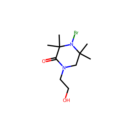 CC1(C)CN(CCO)C(=O)C(C)(C)N1Br